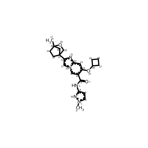 Cn1ccc(NC(=O)c2cn3cc(C45CCC(C)(C4)OC5)nc3cc2OC2CCC2)n1